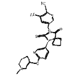 CN1CCCC(Oc2ccc(N3C(=S)N(c4cnc(C#N)c(C(F)(F)F)c4)C(=O)C34CCC4)cn2)C1